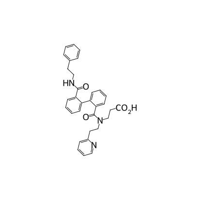 O=C(O)CCN(CCc1ccccn1)C(=O)c1ccccc1-c1ccccc1C(=O)NCCc1ccccc1